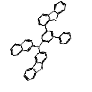 c1ccc(-c2cc(-c3cccc4c3oc3ccccc34)cc(N(c3ccc4ccccc4c3)c3ccc4sc5ccccc5c4c3)c2)cc1